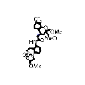 COCCN1c2cccc(NC(=O)/C=C3\CC(COC)(COC)Oc4cc(C(F)(F)F)ccc43)c2CCS1(=O)=O